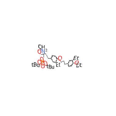 CCOc1ccc(CCCOc2ccc(CCC3(COP(=O)(OC(C)(C)C)OC(C)(C)C)COC(C)=N3)cc2CC)cc1CC